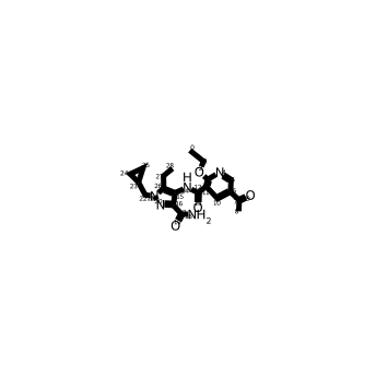 CCOc1ncc(C(C)=O)cc1C(=O)Nc1c(C(N)=O)nn(CC2CC2)c1CC